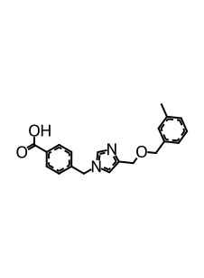 Cc1cccc(COCc2cn(Cc3ccc(C(=O)O)cc3)cn2)c1